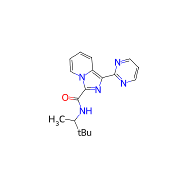 CC(NC(=O)c1nc(-c2ncccn2)c2ccccn12)C(C)(C)C